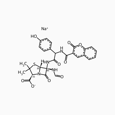 CC1(C)S[C@H]2N(C(=O)[C@@]2(NC=O)NC(=O)C(NC(=O)c2cc3ccccc3oc2=O)c2ccc(O)cc2)[C@H]1C(=O)[O-].[Na+]